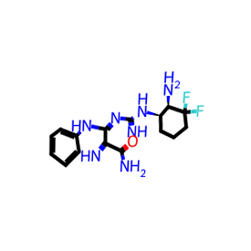 N=C(/N=C(/Nc1ccccc1)C(=N)C(N)=O)N[C@@H]1CCCC(F)(F)[C@@H]1N